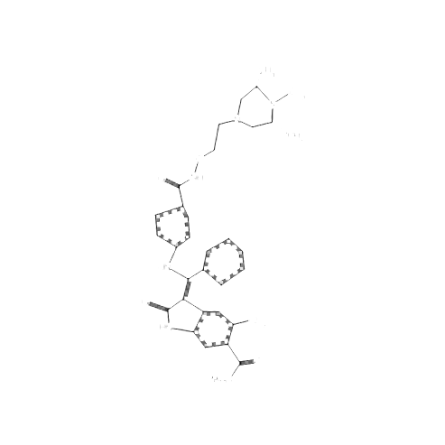 COC(=O)c1cc2c(cc1C)/C(=C(/Nc1ccc(C(=O)NOCCN3C[C@@H](C)N(C)[C@@H](C)C3)cc1)c1ccccc1)C(=O)N2